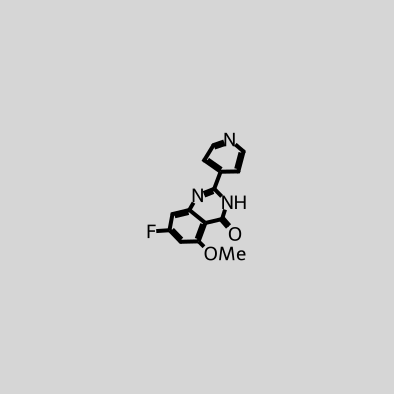 COc1cc(F)cc2nc(-c3ccncc3)[nH]c(=O)c12